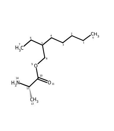 CCCCCC(CC)COC(=O)[C@H](C)N